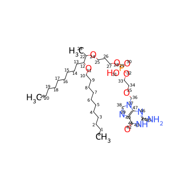 CCCCCCCCCCCOC(CCCCCCCCC)C(C)OCCCOP(=O)(O)OCCOCn1cnc2c(=O)[nH]c(N)nc21